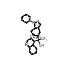 CCOC(=O)c1cnc2ccccc2c1C(O)(c1ccc2c(cnn2-c2ccccc2)c1)C(F)(F)F